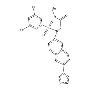 CC(C)(C)OC(=O)CN(c1ccc2cc(-c3ccco3)ccc2c1)S(=O)(=O)c1cc(Cl)cc(Cl)c1